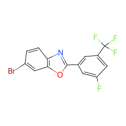 Fc1cc(-c2nc3ccc(Br)cc3o2)cc(C(F)(F)F)c1